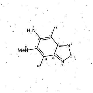 CNc1c(N)c(C)c2nsnc2c1C